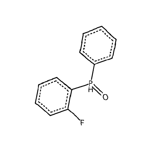 O=[PH](c1ccccc1)c1ccccc1F